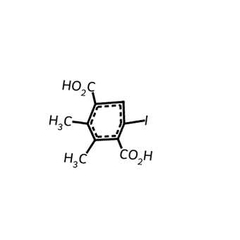 Cc1c(C(=O)O)cc(I)c(C(=O)O)c1C